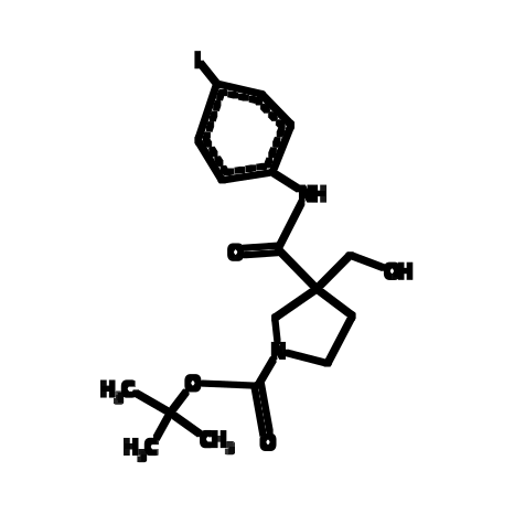 CC(C)(C)OC(=O)N1CCC(CO)(C(=O)Nc2ccc(I)cc2)C1